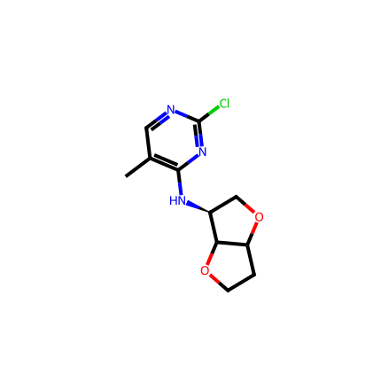 Cc1cnc(Cl)nc1N[C@H]1COC2CCOC21